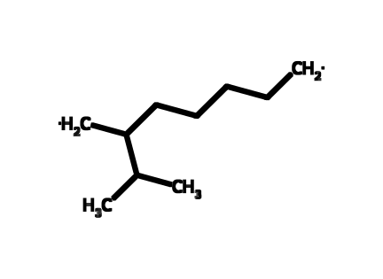 [CH2]CCCCC([CH2])C(C)C